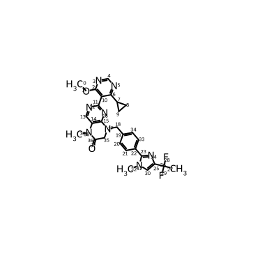 COc1ncnc(C2CC2)c1-c1ncc2c(n1)N(Cc1ccc(-c3nc(C(C)(F)F)cn3C)cc1)CC(=O)N2C